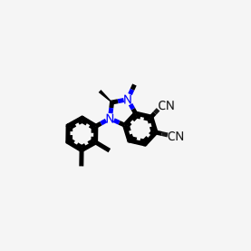 Cc1cccc(N2c3ccc(C#N)c(C#N)c3N(C)[C@@H]2C)c1C